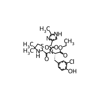 CCOC(=O)[C@H](Cc1ccc(O)c(Cl)c1)N(C(=O)[C@H]1NC(C)(C)CS1)S(=O)(=O)c1c[nH]c(C)n1